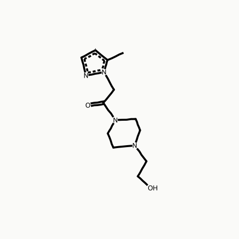 Cc1[c]cnn1CC(=O)N1CCN(CCO)CC1